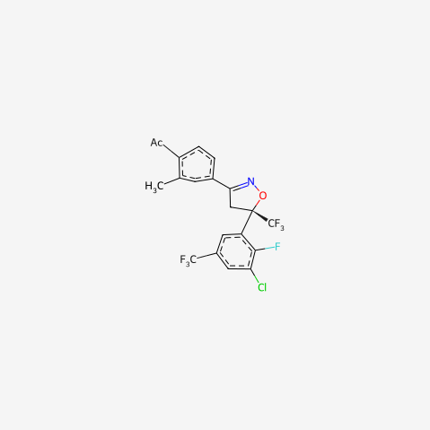 CC(=O)c1ccc(C2=NO[C@@](c3cc(C(F)(F)F)cc(Cl)c3F)(C(F)(F)F)C2)cc1C